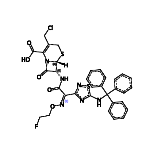 O=C(O)C1=C(CCl)CS[C@@H]2[C@H](NC(=O)/C(=N\OCCF)c3nsc(NC(c4ccccc4)(c4ccccc4)c4ccccc4)n3)C(=O)N12